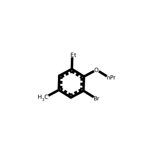 CCCOc1c(Br)cc(C)cc1CC